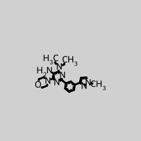 CCN(CC)c1nc(-c2cccc(-c3ccn(C)n3)c2)nc(N2CCOCC2)c1N